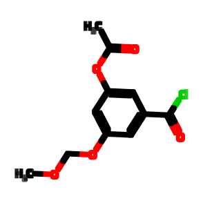 COCOc1cc(OC(C)=O)cc(C(=O)Cl)c1